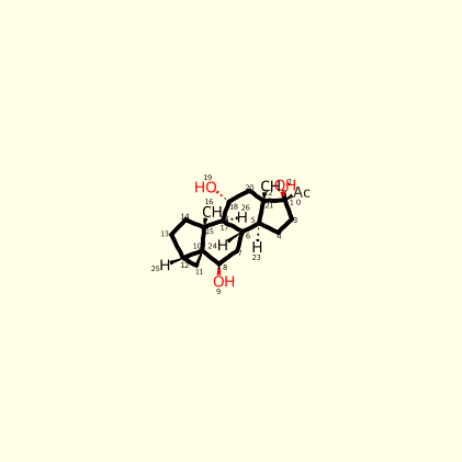 CC(=O)[C@@]1(O)CC[C@H]2[C@@H]3C[C@@H](O)[C@]45C[C@@H]4CC[C@]5(C)[C@H]3[C@H](O)C[C@@]21C